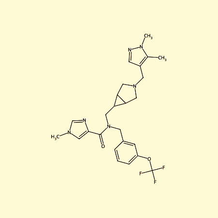 Cc1c(CN2CC3C(C2)C3CN(Cc2cccc(OC(F)(F)F)c2)C(=O)c2cn(C)cn2)cnn1C